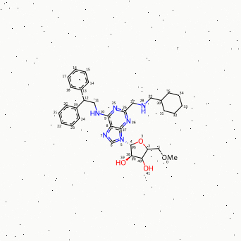 COCC1O[C@@H](n2cnc3c(NCC(c4ccccc4)c4ccccc4)nc(CNCC4CCCCC4)nc32)[C@H](O)C1O